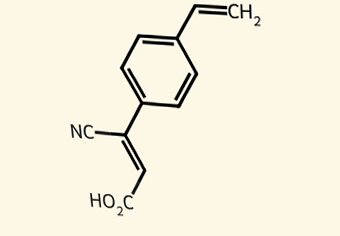 C=Cc1ccc(C(C#N)=CC(=O)O)cc1